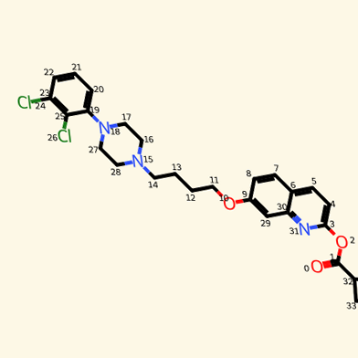 O=C(Oc1ccc2ccc(OCCCCN3CCN(c4cccc(Cl)c4Cl)CC3)cc2n1)C1CCC1